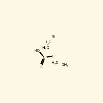 O.O.O.O.O=[N+]([O-])O.[Th]